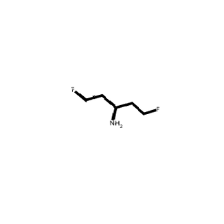 NC(CCF)CCF